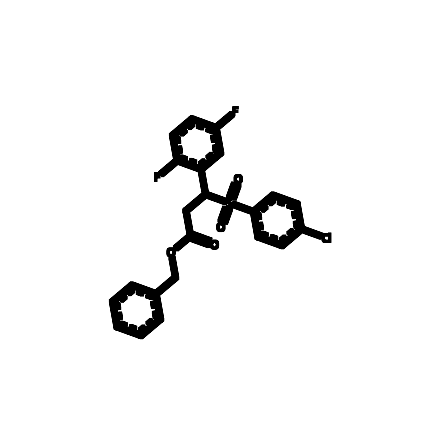 O=C(CC(c1cc(F)ccc1F)S(=O)(=O)c1ccc(Cl)cc1)OCc1ccccc1